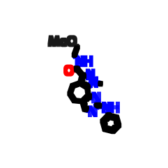 COCCNC(=O)c1nn(C)c2c1CCCc1cnc(Nc3ccccc3)nc1-2